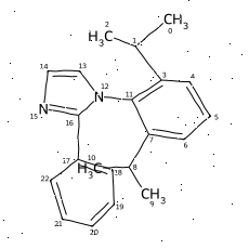 CC(C)c1cccc(C(C)C)c1-n1ccnc1-c1ccccc1